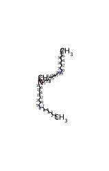 CCCCCCCC/C=C\CCCCCCCCN(CC)CCCCCCCC/C=C\CCCCCCCC